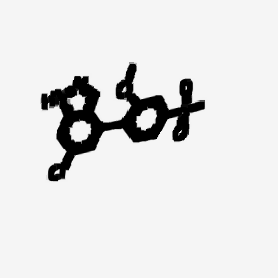 COc1cc(S(C)(=O)=O)ccc1-c1cc(Cl)cc2[nH]ncc12